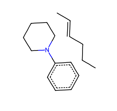 CC=CCCC.c1ccc(N2CCCCC2)cc1